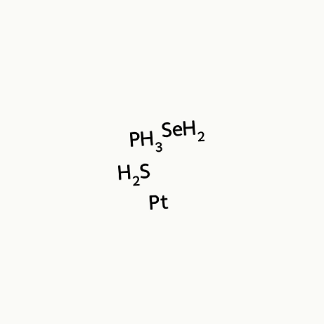 P.S.[Pt].[SeH2]